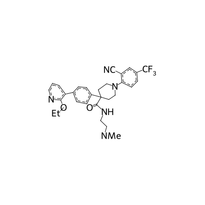 CCOc1ncccc1-c1ccc(C2(C(=O)NCCNC)CCN(c3ccc(C(F)(F)F)cc3C#N)CC2)cc1